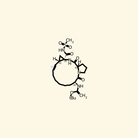 C=C(N[C@H]1CCCCC/C=C\[C@@H]2C[C@@]2(C(=O)NS(C)(=O)=O)NC(=O)[C@@H]2CCCN2C1=O)OC(C)(C)C